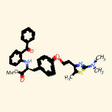 COC(=O)[C@H](Cc1ccc(OCCc2nc(N(C)C)sc2C)cc1)Nc1ccccc1C(=O)c1ccccc1